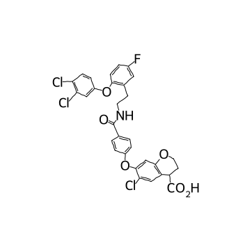 O=C(NCCc1cc(F)ccc1Oc1ccc(Cl)c(Cl)c1)c1ccc(Oc2cc3c(cc2Cl)C(C(=O)O)CCO3)cc1